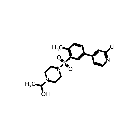 Cc1ccc(-c2ccnc(Cl)c2)cc1S(=O)(=O)N1CCN(C(C)O)CC1